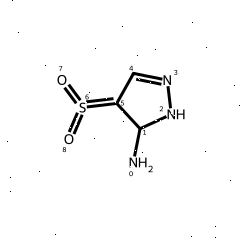 NC1NN=CC1=S(=O)=O